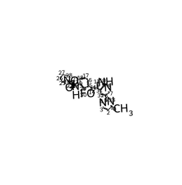 Cc1ccnc(-c2cnc3[nH]cc(C(=O)c4cccc(NS(=O)(=O)N5CCCC5)c4F)c3c2)n1